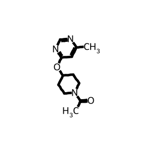 CC(=O)N1CCC(Oc2cc(C)ncn2)CC1